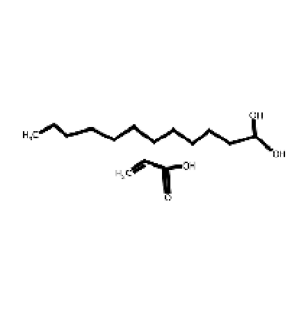 C=CC(=O)O.CCCCCCCCCCCC(O)O